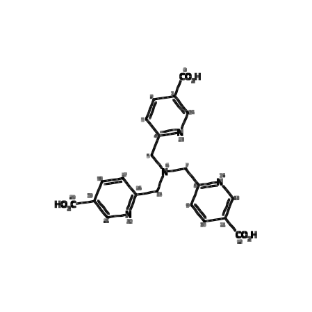 O=C(O)c1ccc(CN(Cc2ccc(C(=O)O)cn2)Cc2ccc(C(=O)O)cn2)nc1